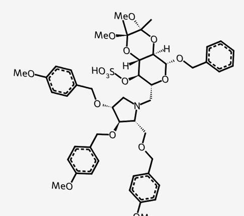 COc1ccc(COC[C@@H]2[C@@H](OCc3ccc(OC)cc3)[C@H](OCc3ccc(OC)cc3)CN2C[C@H]2O[C@@H](OCc3ccccc3)[C@@H]3O[C@@](C)(OC)[C@](C)(OC)O[C@H]3[C@@H]2OS(=O)(=O)O)cc1